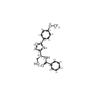 O=C(N[C@@H](CO)c1noc(-c2ccc(OC(F)(F)F)cc2)n1)c1ccccc1